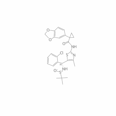 Cc1nc(NC(=O)C2(c3ccc4c(c3)OCO4)CC2)sc1[C@H](N[S+]([O-])C(C)(C)C)c1ccccc1Cl